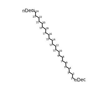 CCCCCCCCCCCCCCCCCCCCCCCCCCCCCCCCCCCCCCCCCCCC